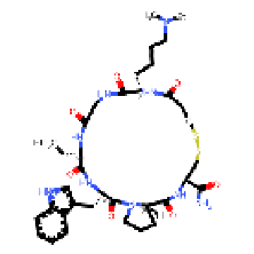 CCN(C)CCCC[C@@H]1NC(=O)CCSSCC(C(N)=O)NC(=O)[C@@H]2CCCN2C(=O)[C@H](Cc2c[nH]c3ccccc23)NC(=O)[C@H](CC(=O)O)NC(=O)CNC1=O